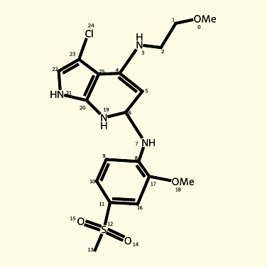 COCCNC1=CC(Nc2ccc(S(C)(=O)=O)cc2OC)Nc2[nH]cc(Cl)c21